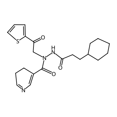 O=C(CCC1CCCCC1)NN(CC(=O)c1cccs1)C(=O)C1=CN=CCC1